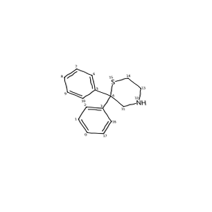 c1ccc(C2(c3ccccc3)CNCCS2)cc1